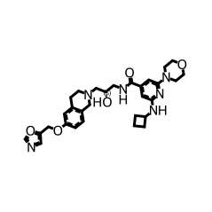 O=C(NC[C@H](O)CN1CCc2cc(OCc3cnco3)ccc2C1)c1cc(NC2CCC2)nc(N2CCOCC2)c1